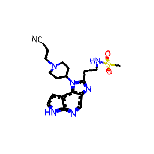 CS(=O)(=O)NCCc1nc2cnc3[nH]ccc3c2n1C1CCN(CCC#N)CC1